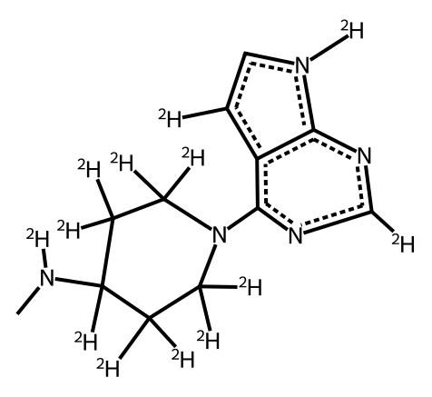 [2H]c1nc(N2C([2H])([2H])C([2H])([2H])C([2H])(N([2H])C)C([2H])([2H])C2([2H])[2H])c2c([2H])cn([2H])c2n1